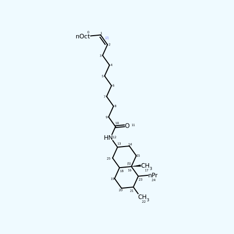 CCCCCCCC/C=C\CCCCCCCC(=O)NC1CC[C@@]2(C)C(CCC(C)C2CCC)C1